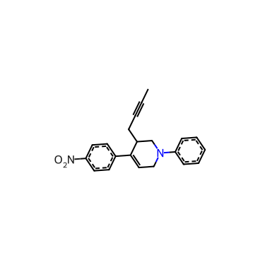 CC#CCC1CN(c2ccccc2)CC=C1c1ccc([N+](=O)[O-])cc1